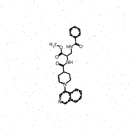 COC(=O)C(CNC(=O)c1ccccc1)NC(=O)C1CCN(c2cncc3ccccc23)CC1